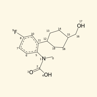 CN(C(=O)O)c1ccc(F)cc1C1CCC(CO)CC1